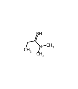 B=C(CC)N(C)C